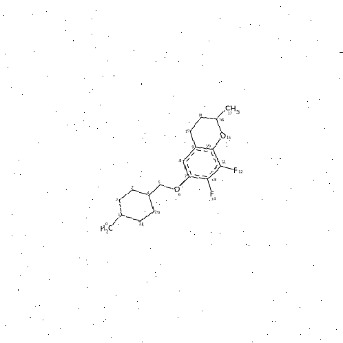 CC1CCC(COc2cc3c(c(F)c2F)OC(C)CC3)CC1